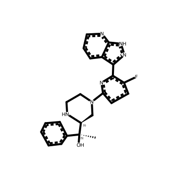 C[C@](O)(c1ccccc1)[C@@H]1CN(c2ccc(F)c(-c3n[nH]c4ncccc34)n2)CCN1